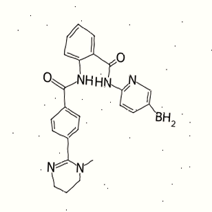 Bc1ccc(NC(=O)c2ccccc2NC(=O)c2ccc(C3=NCCCN3C)cc2)nc1